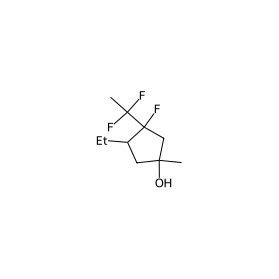 CCC1CC(C)(O)CC1(F)C(C)(F)F